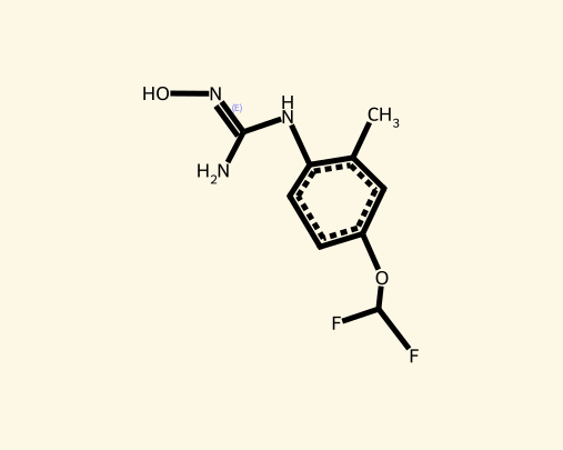 Cc1cc(OC(F)F)ccc1N/C(N)=N/O